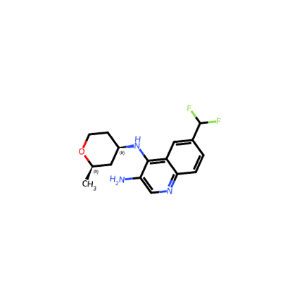 C[C@@H]1C[C@H](Nc2c(N)cnc3ccc(C(F)F)cc23)CCO1